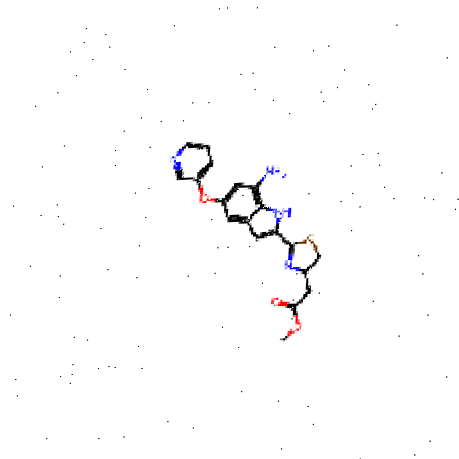 COC(=O)C[C@@H]1CSC(c2cc3cc(Oc4cccnc4)cc(N)c3[nH]2)=N1